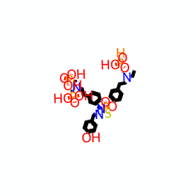 CCN(CCc1ccc(OP(=S)(Oc2ccc(CCN(CP(=O)(O)O)CP(=O)(O)O)cc2)N(C)/N=C/c2ccc(O)cc2)cc1)CO[PH](=O)O